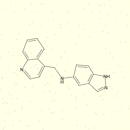 c1ccc2c(CNc3ccc4[nH]ncc4c3)ccnc2c1